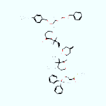 C=C1C[C@@H](C[C@]2(OC)O[C@H](C[C@H](CC(=O)SC(C)(C)C)O[Si](c3ccccc3)(c3ccccc3)C(C)(C)C)C[C@H](OC(C)=O)C2(C)C)O[C@@H](/C=C/C(C)(C)[C@]2(OC)O[C@H](C[C@@H](OCc3ccc(OC)cc3)[C@@H](C)OCOCc3ccccc3)CCC2=O)C1